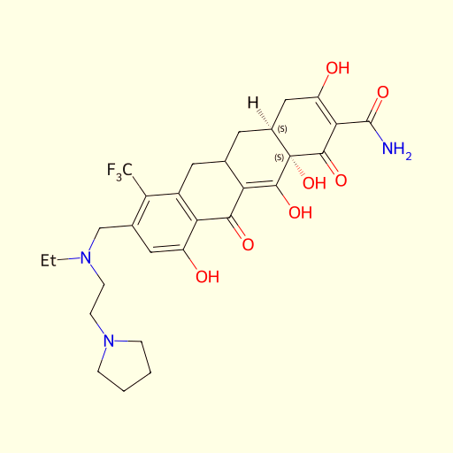 CCN(CCN1CCCC1)Cc1cc(O)c2c(c1C(F)(F)F)CC1C[C@H]3CC(O)=C(C(N)=O)C(=O)[C@@]3(O)C(O)=C1C2=O